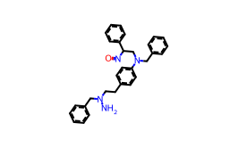 NN(CCc1ccc(N(Cc2ccccc2)CC(N=O)c2ccccc2)cc1)Cc1ccccc1